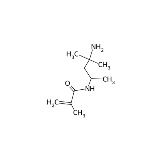 C=C(C)C(=O)NC(C)CC(C)(C)N